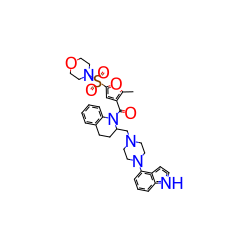 Cc1oc(S(=O)(=O)N2CCOCC2)cc1C(=O)N1c2ccccc2CCC1CN1CCN(c2cccc3[nH]ccc23)CC1